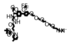 COC(=O)C[C@H](NC(=O)CNC(=O)CCCN(C(=O)OC(C)(C)C)c1cc(C)ccn1)c1ccc(-c2ccc(OCCOCCOCCOCCOCCN=[N+]=[N-])cc2OC(F)(F)F)cc1